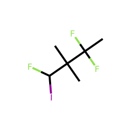 CC(F)(F)C(C)(C)C(F)I